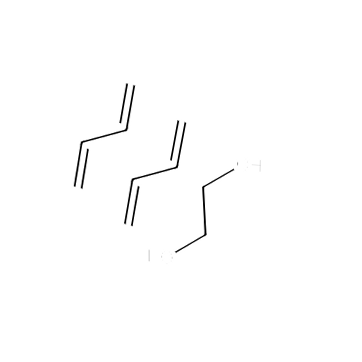 C=CC=C.C=CC=C.OCCO